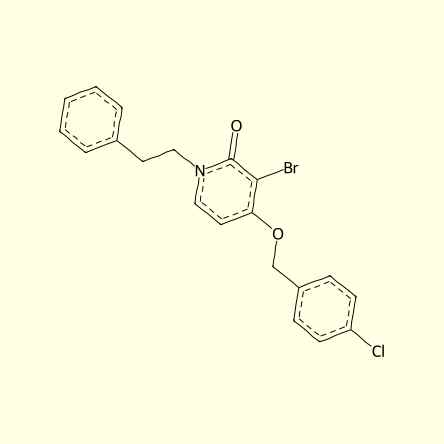 O=c1c(Br)c(OCc2ccc(Cl)cc2)ccn1CCc1ccccc1